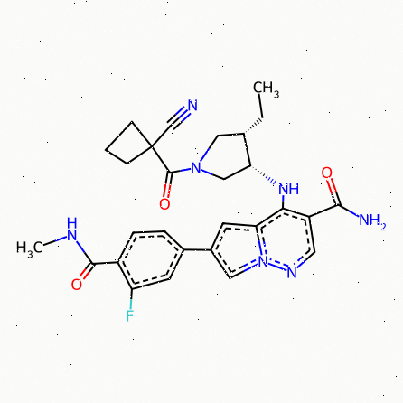 CC[C@H]1CN(C(=O)C2(C#N)CCC2)C[C@H]1Nc1c(C(N)=O)cnn2cc(-c3ccc(C(=O)NC)c(F)c3)cc12